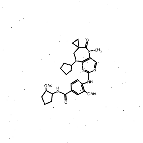 COc1cc(C(=O)NC2CCCC2OC(C)=O)ccc1Nc1ncc2c(n1)N(C1CCCC1)CC1(CC1)C(=O)N2C